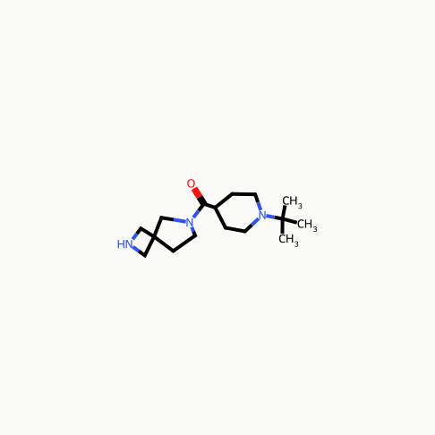 CC(C)(C)N1CCC(C(=O)N2CCC3(CNC3)C2)CC1